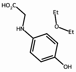 CCOCC.O=C(O)CNc1ccc(O)cc1